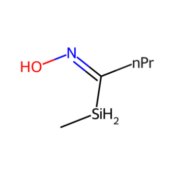 CCCC(=NO)[SiH2]C